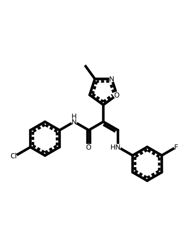 Cc1cc(C(=CNc2cccc(F)c2)C(=O)Nc2ccc(Cl)cc2)on1